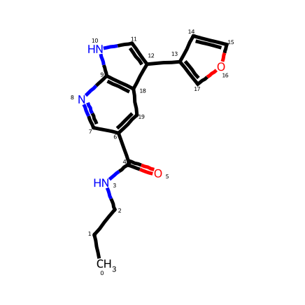 CCCNC(=O)c1cnc2[nH]cc(-c3ccoc3)c2c1